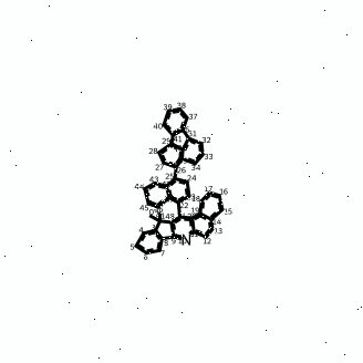 CC1(C)c2ccccc2-c2nc3ccc4ccccc4c3c(-c3ccc(-c4ccc5c6c(cccc46)-c4ccccc4-5)c4ccccc34)c21